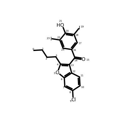 CCCCc1oc2cc(Cl)ccc2c1C(=O)c1cc(I)c(O)c(I)c1